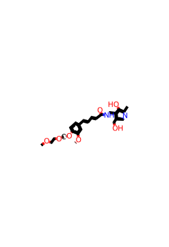 COCCOCOc1ccc(C=CC=CC(=O)NCc2c(CO)cnc(C)c2O)cc1OC